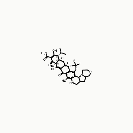 CN(C)[C@H]1C(O)=C(C(N)=O)C(=O)[C@]2(O)C(O)=C3C(=O)c4c(O)c5c(c(OC(F)(F)F)c4C[C@@H]3C[C@H]12)C1C(CN5)CC2COCCN21